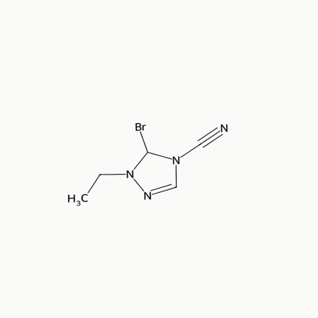 CCN1N=CN(C#N)C1Br